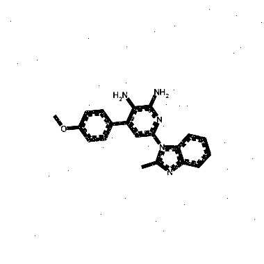 COc1ccc(-c2cc(-n3c(C)nc4ccccc43)nc(N)c2N)cc1